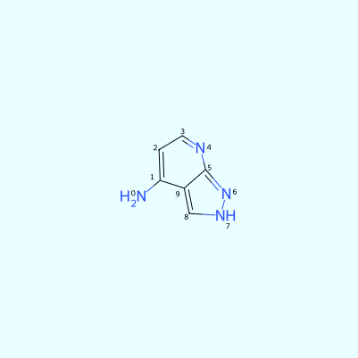 Nc1ccnc2n[nH]cc12